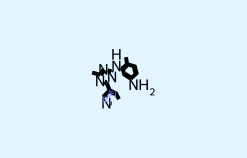 C/C=C(\C=N/C)c1nc(C)nc(Nc2cc(N)ccc2C)n1